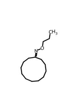 CCCON=C1CCCCCCCCCCC1